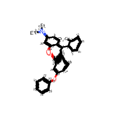 CC[N+](CC)=c1ccc2c(-c3ccccc3C(=O)O)c3ccc(Oc4ccccc4)cc3oc-2c1